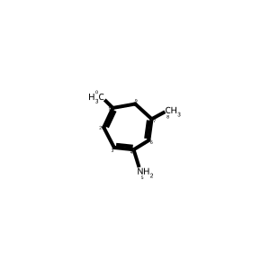 CC1=CC=C(N)C=C(C)C1